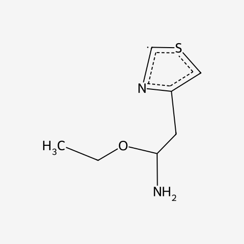 CCOC(N)Cc1cs[c]n1